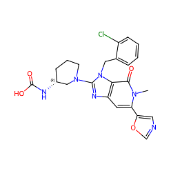 Cn1c(-c2cnco2)cc2nc(N3CCC[C@@H](NC(=O)O)C3)n(Cc3ccccc3Cl)c2c1=O